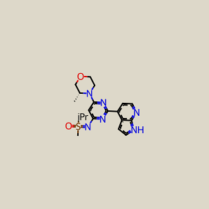 CC(C)S(C)(=O)=Nc1cc(N2CCOC[C@H]2C)nc(-c2ccnc3[nH]ccc23)n1